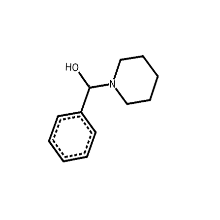 O[C](c1ccccc1)N1CCCCC1